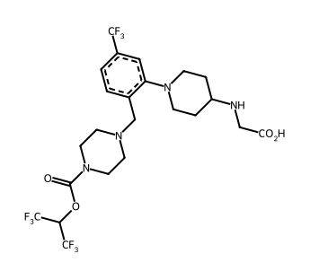 O=C(O)CNC1CCN(c2cc(C(F)(F)F)ccc2CN2CCN(C(=O)OC(C(F)(F)F)C(F)(F)F)CC2)CC1